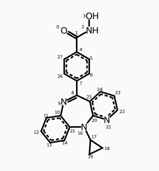 O=C(NO)c1ccc(C2=Nc3ccccc3N(C3CC3)c3ncccc32)cc1